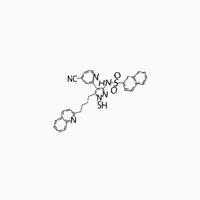 N#Cc1ccnc(-c2c(NS(=O)(=O)c3ccc4ccccc4c3)nn(S)c2CCCCc2ccc3ccccc3n2)c1